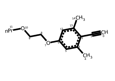 C#Cc1c(C)cc(OCCOCCC)cc1C